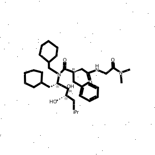 CC(C)C[C@H](O)[C@H](O)[C@H](CC1CCCCC1)N(CC1CCCCC1)C(=O)[C@@H](CC(=O)NCC(=O)N(C)C)Cc1ccccc1